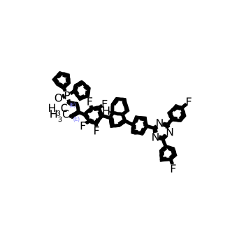 C/C=C(\C=C(/C)P(=O)(c1ccccc1)c1ccccc1)c1c(F)c(F)c(C2=CC=C(c3ccc(-c4nc(-c5ccc(F)cc5)nc(-c5ccc(F)cc5)n4)cc3)C3C=CC=C[C@H]23)c(F)c1F